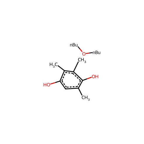 CCCCOCCCC.Cc1cc(O)c(C)c(C)c1O